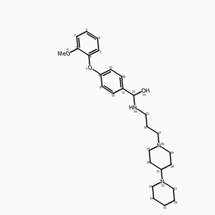 COc1ccccc1Oc1ccc(C(O)NCCCN2CCC(N3CCCCC3)CC2)cc1